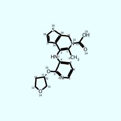 CC1=C(Nc2cccnc2O[C@H]2CCOC2)c2ccsc2CN1C(=O)O